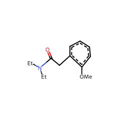 CCN(CC)C(=O)Cc1ccccc1OC